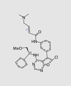 COC[C@@H](Nc1ncnc2oc(Cl)c(-c3cccc(NC(=O)/C=C/CN(C)C)c3)c12)c1ccccc1